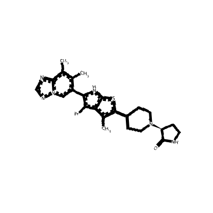 Cc1c(-c2[nH]c3sc(C4CCN([C@H]5CCNC5=O)CC4)c(C)c3c2C(C)C)cn2ncnc2c1C